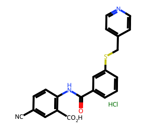 Cl.N#Cc1ccc(NC(=O)c2cccc(SCc3ccncc3)c2)c(C(=O)O)c1